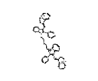 C(=C1/CC[n+]2ccccc21)/c1c(-c2ccccc2)n(CCCCCn2c(-c3ccccc3)c(/C=C3\CC[n+]4ccccc43)c3ccccc32)c2ccccc12